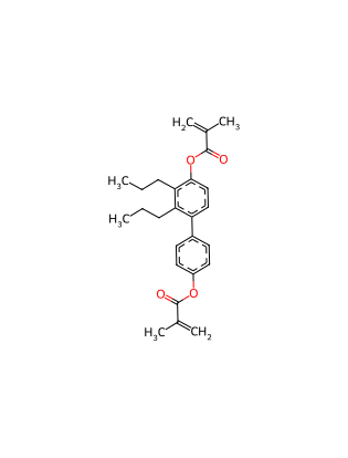 C=C(C)C(=O)Oc1ccc(-c2ccc(OC(=O)C(=C)C)c(CCC)c2CCC)cc1